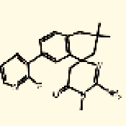 CN1C(=O)CC2(CC(C)(C)Cc3ccc(-c4cccnc4F)cc32)N=C1N